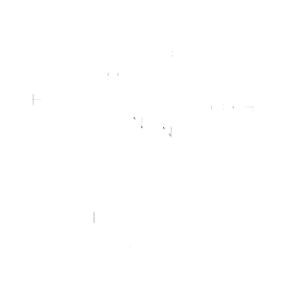 Cc1c(OC(C)(F)F)nn(CC2CC(F)(F)C2)c1C(=O)O